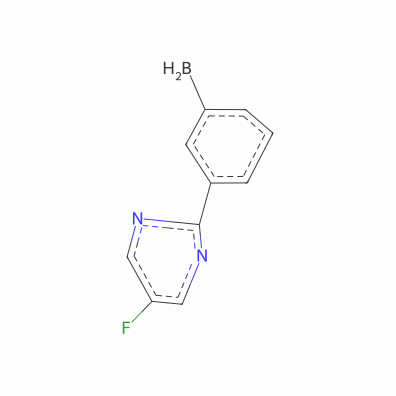 Bc1cccc(-c2ncc(F)cn2)c1